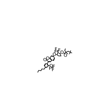 CCCCCc1ccc(-c2cc3ccc(OC4CCC(OC(=O)C(C)(CC)CC(C)(C)C)C4C(F)(F)F)cc3oc2=O)c(OC(F)(F)F)c1